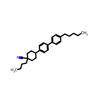 CCCCCc1ccc(-c2ccc(C3CCC(C#N)(CCCC)CC3)cc2)cc1